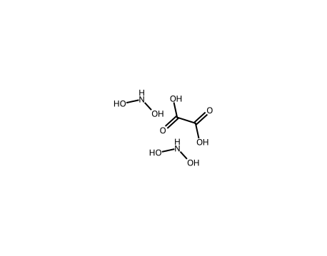 O=C(O)C(=O)O.ONO.ONO